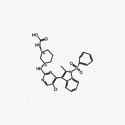 Cc1c(-c2nc(N[C@@H]3CCC[C@H](NC(=O)O)C3)ncc2Cl)c2ccccc2n1S(=O)(=O)c1ccccc1